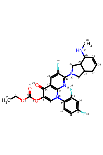 CCOC(=O)Oc1cn(-c2ccc(F)cc2F)c2nc(N3CC4CC=CC(NC)C4C3)c(F)cc2c1=O